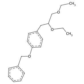 CCOCC(Cc1ccc(OCc2ccccc2)cc1)OCC